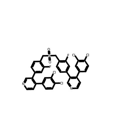 O=S(=O)(Cc1ccc(-c2cnccc2-c2ccc(Cl)c(Cl)c2)cc1F)Cc1ccc(-c2cnccc2-c2ccc(Cl)c(Cl)c2)cc1F